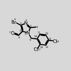 Cc1nc(Br)c(C=O)n1Cc1ccc(Cl)cc1Cl